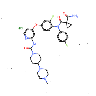 CN1CCN(C2CCN(C(=O)Nc3cc(Oc4ccc(N(C(=O)C5(C(N)=O)CC5)c5ccc(F)cc5)c(F)c4)ccn3)CC2)CC1.Cl